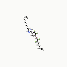 CCCCCCCCc1cnc(-c2ccc(OC[C@H](F)[C@@H](F)CCCCC)c(F)c2F)nc1